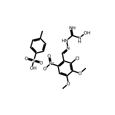 COc1cc([N+](=O)[O-])c(C=NNC(=N)NO)c(Cl)c1OC.Cc1ccc(S(=O)(=O)O)cc1